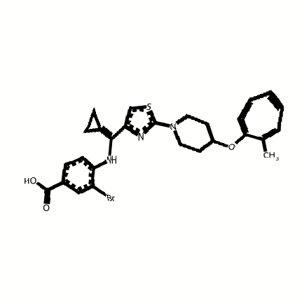 CC1=CC=CC=C=C1OC1CCN(c2nc(C(Nc3ccc(C(=O)O)cc3Br)=C3CC3)cs2)CC1